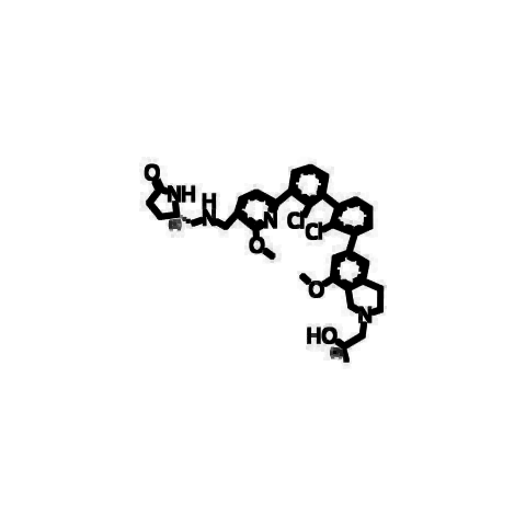 COc1cc(-c2cccc(-c3cccc(-c4ccc(CNC[C@@H]5CCC(=O)N5)c(OC)n4)c3Cl)c2Cl)cc2c1CN(C[C@@H](C)O)CC2